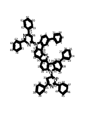 c1ccc(-c2ccc3c(c2)c2c4sc5c(ccc6c5c5cc(-c7ccccc7)ccc5n6-c5cc(-c6ccccc6)nc(-c6ccccc6)n5)c4ccc2n3-c2cc(-c3ccccc3)nc(-c3ccccc3)n2)cc1